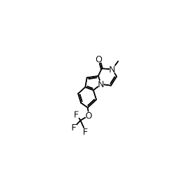 Cn1ccn2c(cc3ccc(OC(F)(F)F)cc32)c1=O